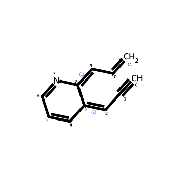 C#C/C=c1/cccn/c1=C/C=C